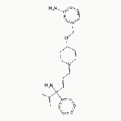 CC(C)C(N)(CCCN1CCC(OCc2cccc(N)c2)CC1)c1ccccc1